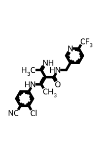 CC(=N)/C(C(=O)NCc1ccc(C(F)(F)F)nc1)=C(/C)Nc1ccc(C#N)c(Cl)c1